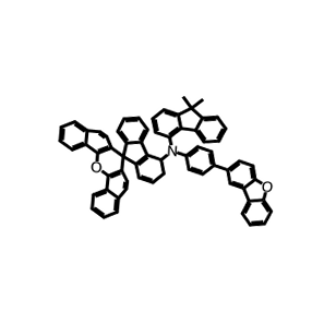 CC1(C)c2ccccc2-c2c(N(c3ccc(-c4ccc5oc6ccccc6c5c4)cc3)C3CC=CC4=C3c3ccccc3C43c4ccc5ccccc5c4Oc4c3ccc3ccccc43)cccc21